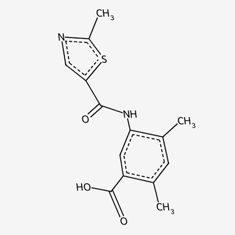 Cc1ncc(C(=O)Nc2cc(C(=O)O)c(C)cc2C)s1